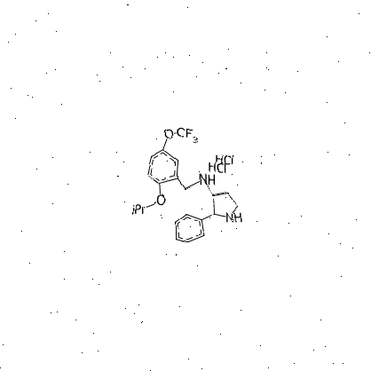 CC(C)Oc1ccc(OC(F)(F)F)cc1CNC1CCNC1c1ccccc1.Cl.Cl